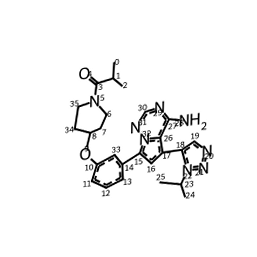 CC(C)C(=O)N1CCC(Oc2cccc(-c3cc(-c4cnnn4C(C)C)c4c(N)ncnn34)c2)CC1